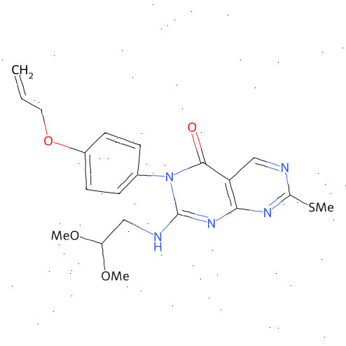 C=CCOc1ccc(-n2c(NCC(OC)OC)nc3nc(SC)ncc3c2=O)cc1